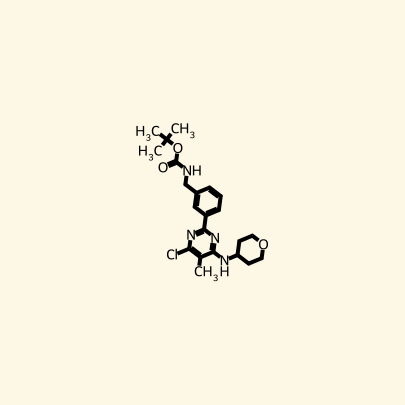 Cc1c(Cl)nc(-c2cccc(CNC(=O)OC(C)(C)C)c2)nc1NC1CCOCC1